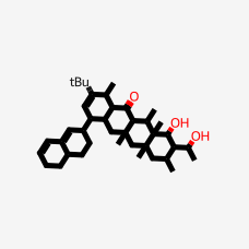 CC(O)C1C(C)CC2(C)CC3(C)CC4C(C5C=C6C=CCCC6CC5)C=C(C(C)(C)C)C(C)C4C(=O)C3C(C)C2(C)C1O